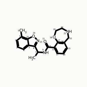 Cc1cccc2c(C(C)NC(=O)c3cccc4c3OCCNC4)noc12